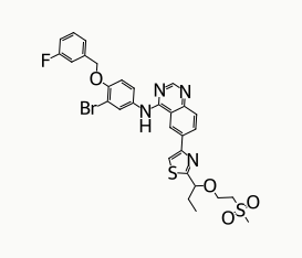 CCC(OCCS(C)(=O)=O)c1nc(-c2ccc3ncnc(Nc4ccc(OCc5cccc(F)c5)c(Br)c4)c3c2)cs1